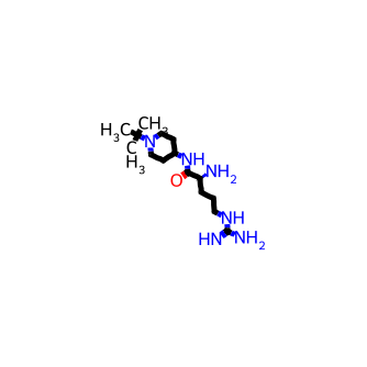 CC(C)(C)N1CCC(NC(=O)[C@@H](N)CCCNC(=N)N)CC1